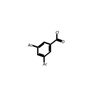 CC(=O)c1cc(C(C)=O)cc(C(=O)Cl)c1